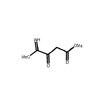 COC(=N)C(=O)CC(=O)OC